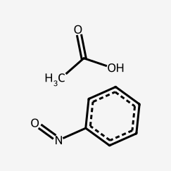 CC(=O)O.O=Nc1ccccc1